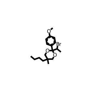 CCCCC1(C)COC(c2ccc(OC)cc2)(C(C)Br)OC1